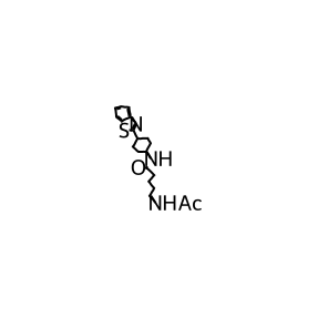 CC(=O)NCCCCC(=O)NC1CCC(c2nc3ccccc3s2)CC1